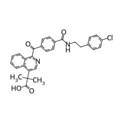 CC(C)(C(=O)O)c1cnc(C(=O)c2ccc(C(=O)NCCc3ccc(Cl)cc3)cc2)c2ccccc12